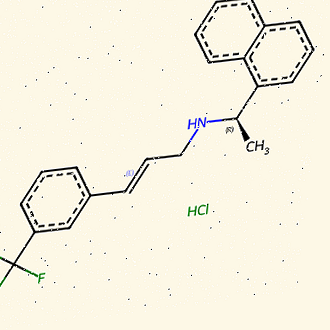 C[C@@H](NC/C=C/c1cccc(C(F)(F)F)c1)c1cccc2ccccc12.Cl